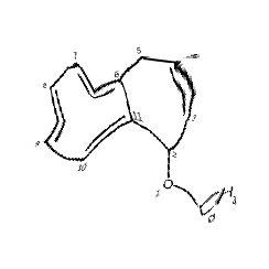 COC1[C]=CCc2ccccc21